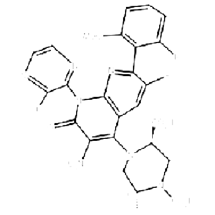 COc1cccc(F)c1-c1nc2c(cc1F)c(N1C[C@@H](C)N(C(=O)O)C[C@@H]1C(=O)O)c([N+](=O)[O-])c(=O)n2-c1nccnc1C(C)C